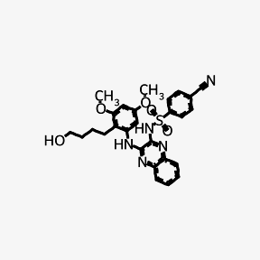 COc1cc(Nc2nc3ccccc3nc2NS(=O)(=O)c2ccc(C#N)cc2)c(CCCCO)c(OC)c1